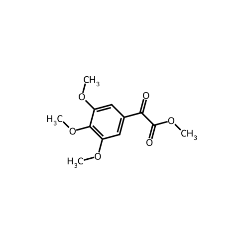 COC(=O)C(=O)c1cc(OC)c(OC)c(OC)c1